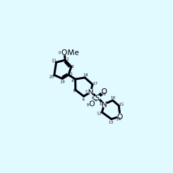 COC1=CC(C2CCN(S(=O)(=O)N3CCOCC3)CC2)=CC[CH]1